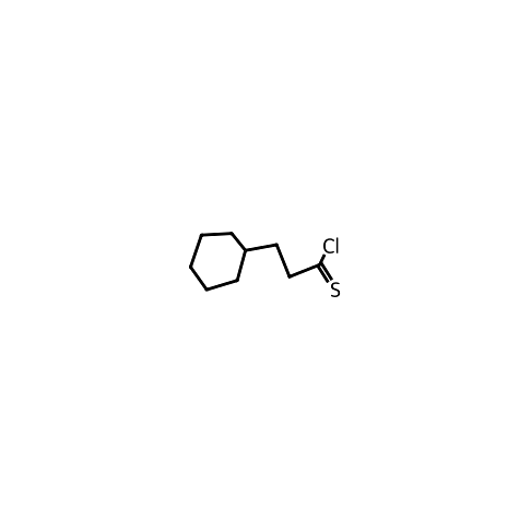 S=C(Cl)CCC1CCCCC1